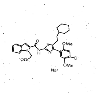 COc1cc(-c2nc(NC(=O)c3cc4ccccc4n3CC(=O)[O-])sc2CCC2CCCCC2)c(OC)cc1Cl.[Na+]